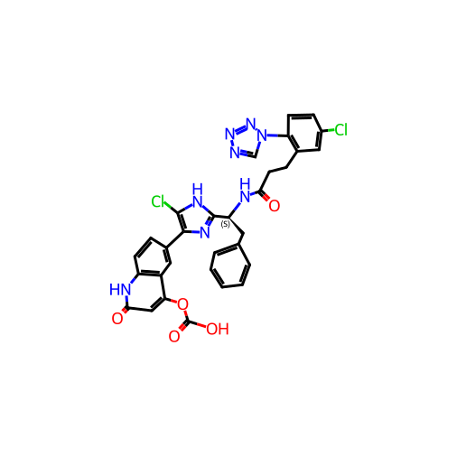 O=C(CCc1cc(Cl)ccc1-n1cnnn1)N[C@@H](Cc1ccccc1)c1nc(-c2ccc3[nH]c(=O)cc(OC(=O)O)c3c2)c(Cl)[nH]1